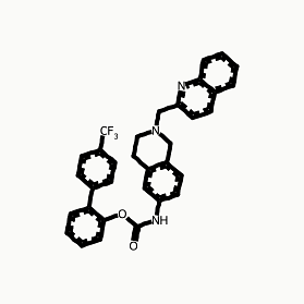 O=C(Nc1ccc2c(c1)CCN(Cc1ccc3ccccc3n1)C2)Oc1ccccc1-c1ccc(C(F)(F)F)cc1